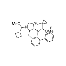 COC(C1CCC1)N1CCC(NC(OC)C2(C#N)CC2)C1Cc1cccc(-c2cccc(F)c2)c1